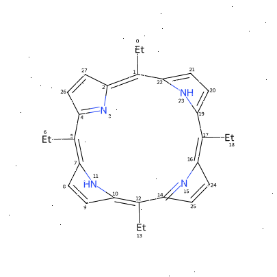 CCc1c2nc(c(CC)c3ccc([nH]3)c(CC)c3nc(c(CC)c4ccc1[nH]4)C=C3)C=C2